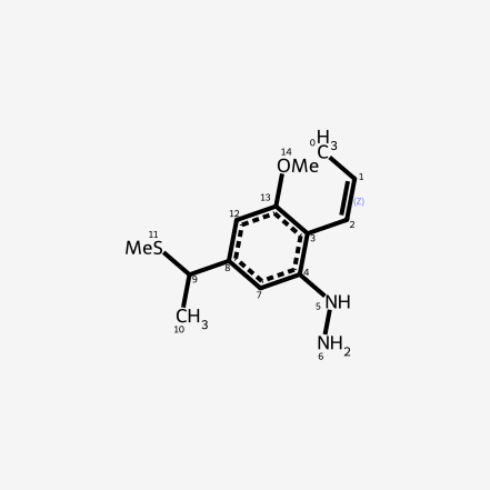 C/C=C\c1c(NN)cc(C(C)SC)cc1OC